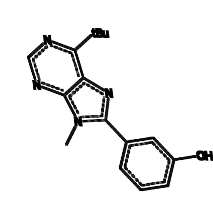 Cn1c(-c2cccc(O)c2)nc2c(C(C)(C)C)ncnc21